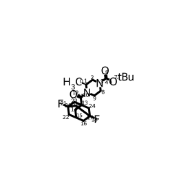 C[C@H]1CN(C(=O)OC(C)(C)C)CCN1C(=O)C12CC3CC(F)(CC(F)(C3)C1)C2